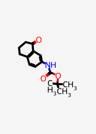 CC(C)(C)OC(=O)Nc1ccc2c(c1)C(=O)CCC2